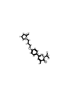 Cc1cc(-c2ccc(OCCCN3CCCC3C)cc2)nn(C(C)C)c1=O